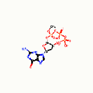 COP(=O)(O[C@H]1O[C@@H](n2cnc3c(=O)nc(N)[nH]c32)C[C@@H]1O)OP(=O)(O)OP(=O)(O)O